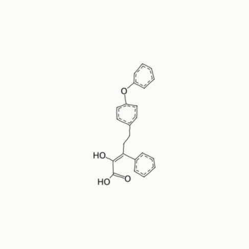 O=C(O)/C(O)=C(/CCc1ccc(Oc2ccccc2)cc1)c1ccccc1